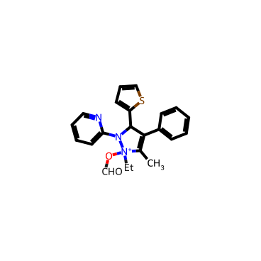 CC[N+]1(OC=O)C(C)=C(c2ccccc2)C(c2cccs2)N1c1ccccn1